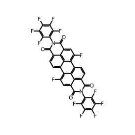 O=C1c2ccc3c4c(F)cc5c6c(ccc(c7c(F)cc(c2c37)C(=O)N1c1c(F)c(F)c(F)c(F)c1F)c64)C(=O)N(c1c(F)c(F)c(F)c(F)c1F)C5=O